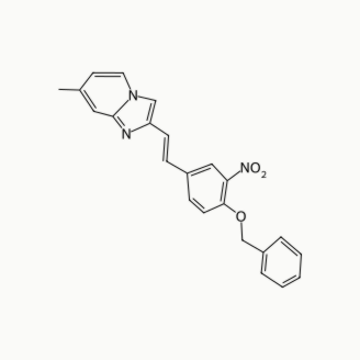 Cc1ccn2cc(C=Cc3ccc(OCc4ccccc4)c([N+](=O)[O-])c3)nc2c1